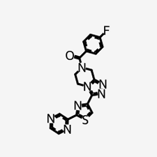 O=C(c1ccc(F)cc1)N1CCn2c(nnc2-c2csc(-c3cnccn3)n2)C1